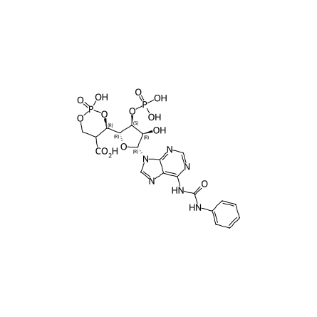 O=C(Nc1ccccc1)Nc1ncnc2c1ncn2[C@@H]1O[C@H]([C@@H]2OP(=O)(O)OCC2C(=O)O)[C@@H](OP(=O)(O)O)[C@H]1O